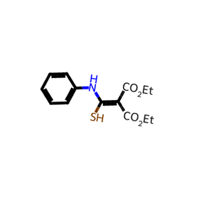 CCOC(=O)C(C(=O)OCC)=C(S)Nc1ccccc1